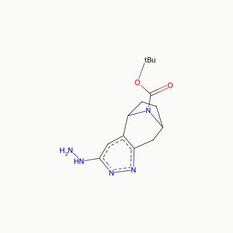 CC(C)(C)OC(=O)N1C2CCC1c1cc(NN)nnc1C2